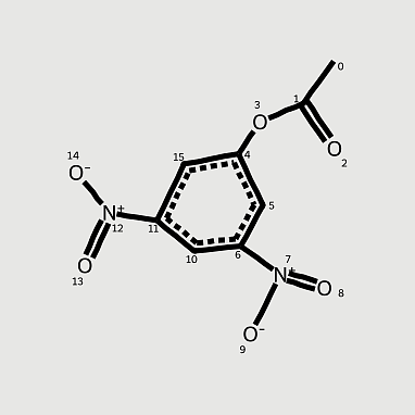 CC(=O)Oc1cc([N+](=O)[O-])cc([N+](=O)[O-])c1